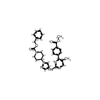 COC(=O)c1ccc(-c2nc(Nc3cnn(C4CCN(C(=O)OCc5ccccc5)CC4)c3)ncc2C)cc1